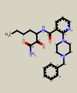 CCCCC(NC(=O)c1cccnc1N1CCN(Cc2ccccc2)CC1)C(=O)C(N)=O